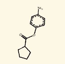 Nc1ccc(OC(=O)C2CCCC2)cc1